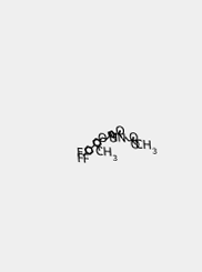 COC(=O)CCNC(=O)c1ccc(COc2ccc(-c3ccc(C(F)(F)F)cc3)c(C)c2)s1